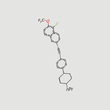 CCCC1CCC(c2ccc(C#Cc3ccc4c(F)c(OC(F)(F)F)ccc4c3)cc2)CC1